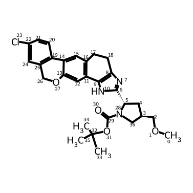 COC[C@@H]1C[C@@H](c2nc3c([nH]2)-c2cc4c(cc2CC3)-c2ccc(Cl)cc2CO4)N(C(=O)OC(C)(C)C)C1